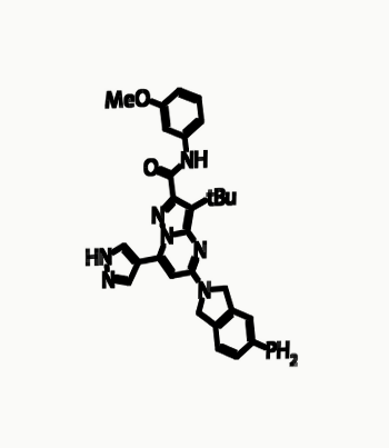 COc1cccc(NC(=O)c2nn3c(-c4cn[nH]c4)cc(N4Cc5ccc(P)cc5C4)nc3c2C(C)(C)C)c1